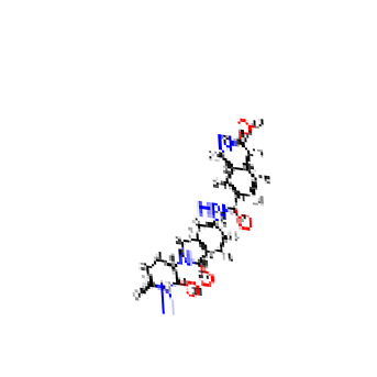 C=C1CCC(N2Cc3cc(NC(=O)c4ccc5cc(OC)ncc5c4)ccc3C2=O)C(=O)N1